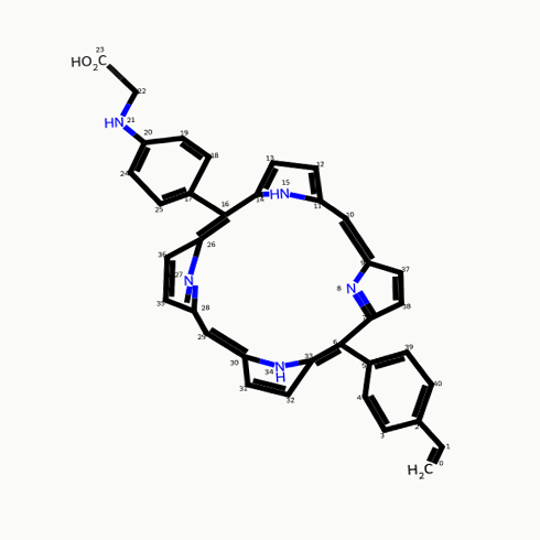 C=Cc1ccc(-c2c3nc(cc4ccc([nH]4)c(-c4ccc(NCC(=O)O)cc4)c4nc(cc5ccc2[nH]5)C=C4)C=C3)cc1